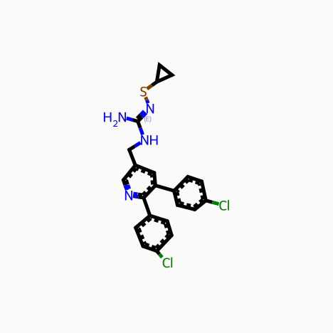 N/C(=N\SC1CC1)NCc1cnc(-c2ccc(Cl)cc2)c(-c2ccc(Cl)cc2)c1